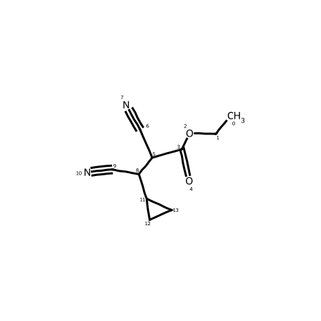 CCOC(=O)C(C#N)C(C#N)C1CC1